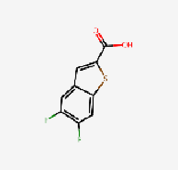 O=C(O)c1cc2cc(F)c(F)cc2s1